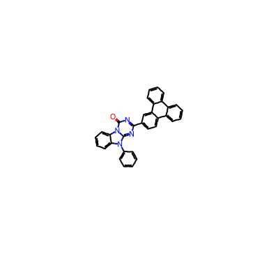 O=c1nc(-c2ccc3c4ccccc4c4ccccc4c3c2)nc2n(-c3ccccc3)c3ccccc3n12